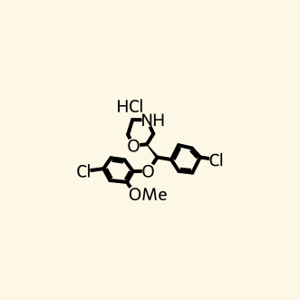 COc1cc(Cl)ccc1OC(c1ccc(Cl)cc1)[C@@H]1CNCCO1.Cl